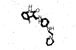 O=C1Nc2cccc(F)c2C1=CNc1ccc(NCCN2CCCCC2)cc1